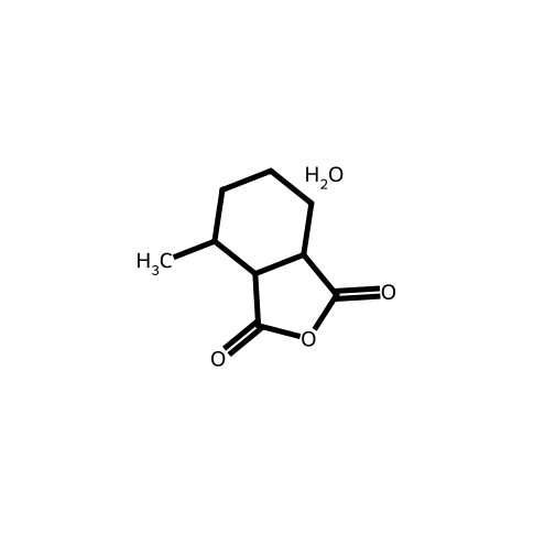 CC1CCCC2C(=O)OC(=O)C12.O